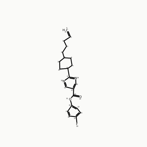 C=CCCCC1CCC(c2ncc(C(=O)Oc3ccc(F)cc3)cn2)CC1